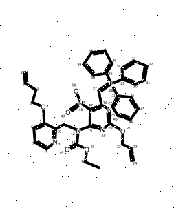 C=CCCOc1cccnc1CN(C(=O)OCC)c1nc(OCC=C)nc(C=P(c2ccccc2)(c2ccccc2)c2ccccc2)c1[N+](=O)[O-]